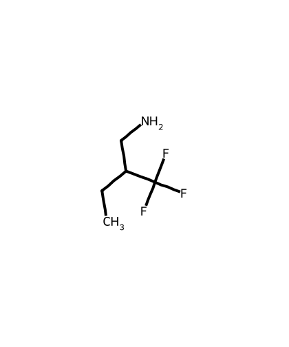 CCC(CN)C(F)(F)F